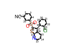 N#Cc1cccc(S(=O)(=O)c2sc3ncccc3c2-c2ccccc2Cl)c1